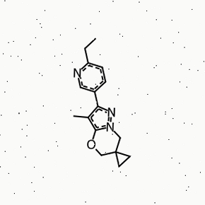 CCc1ccc(-c2nn3c(c2C)OCC2(CC2)C3)cn1